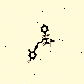 Cc1cc(Cl)ccc1C#CCCCC1(S(=O)(=O)c2ccc(I)cc2)SC(=O)NC1=O